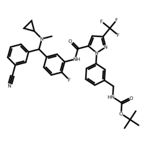 CN(C1CC1)C(c1cccc(C#N)c1)c1ccc(F)c(NC(=O)c2cc(C(F)(F)F)nn2-c2cccc(CNC(=O)OC(C)(C)C)c2)c1